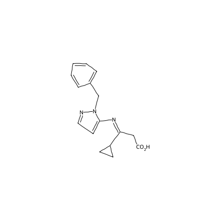 O=C(O)C/C(=N/c1ccnn1Cc1ccccc1)C1CC1